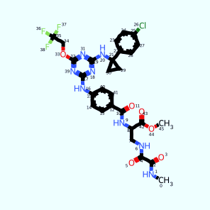 CNC(=O)C(=O)NCC(NC(=O)c1ccc(Nc2nc(NC3(c4ccc(Cl)cc4)CC3)nc(OCC(F)(F)F)n2)cc1)C(=O)OC